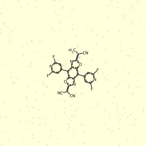 C/C(C#N)=c1\nc2c(-c3cc(F)nc(F)c3)c3oc(=C(C#N)C#N)nc3c(-c3cc(F)nc(F)c3)c2o1